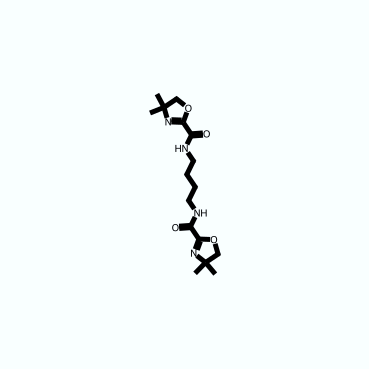 CC1(C)COC(C(=O)NCCCCNC(=O)C2=NC(C)(C)CO2)=N1